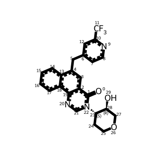 O=c1c2cc(Cc3ccnc(C(F)(F)F)c3)c3ccccc3c2ncn1[C@H]1CCOC[C@@H]1O